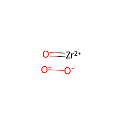 [O-][O-].[O]=[Zr+2]